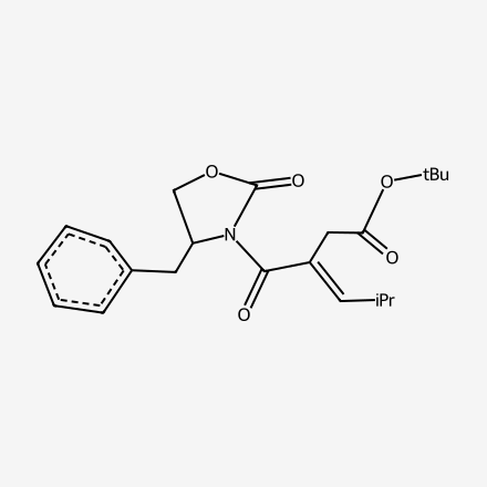 CC(C)/C=C(\CC(=O)OC(C)(C)C)C(=O)N1C(=O)OCC1Cc1ccccc1